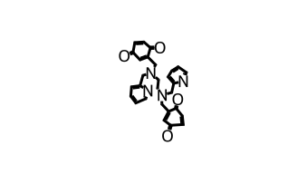 O=C1C=CC(=O)C(CN(CCN(CC2=CC(=O)C=CC2=O)Cc2ccccn2)Cc2ccccn2)=C1